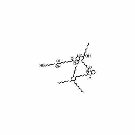 CCCCCCCCC1CC(CCCCCCC(=O)C[C@@H]2CCCC[C@@H]2NC(=O)CCCCCCCC(O)C(O)CCCCCCO)C(CCCCCCC(=O)N[C@H]2CCCC[C@H]2NC(=O)CCCCCCCC(O)C(O)CCCCCCC)CC1CCCCCCCC